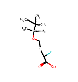 CC(C)(C)[Si](C)(C)OCCC(F)C(=O)O